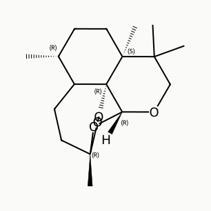 C[C@@H]1CC[C@@]2(C)C(C)(C)CO[C@@H]3O[C@@]4(C)CCC1[C@]32OO4